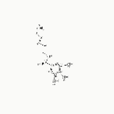 CCC=CCCOC(=O)c1cc(O)c(O)c(O)c1